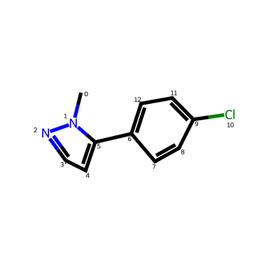 Cn1n[c]cc1-c1ccc(Cl)cc1